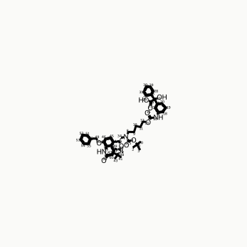 CC(C)(C)OC(=O)N(CCCCCOC(=O)Nc1cccc(C(O)(C(=O)O)c2ccccc2)c1)C[C@H](O[Si](C)(C)C(C)(C)C)c1ccc(OCc2ccccc2)c2[nH]c(=O)ccc12